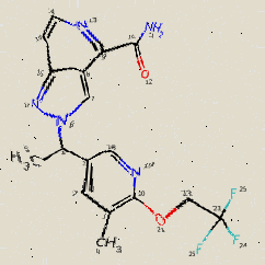 Cc1cc(C(C)n2cc3c(C(N)=O)nccc3n2)cnc1OCC(F)(F)F